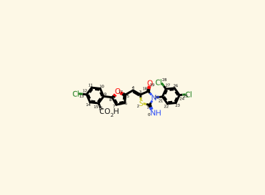 N=C1S/C(=C\c2ccc(-c3ccc(Cl)cc3C(=O)O)o2)C(=O)N1c1ccc(Cl)cc1Cl